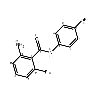 CCCc1ccc(NC(=O)c2c(N)cccc2F)cc1